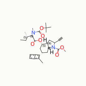 C#CC1C[C@H]2[C@@H](OC(=O)[C@H]([C@@H](C)CC)N(C)C(=O)OC(C)(C)C)CCC[C@H]2N1C(=O)OC.Cc1cc2ccc1-2